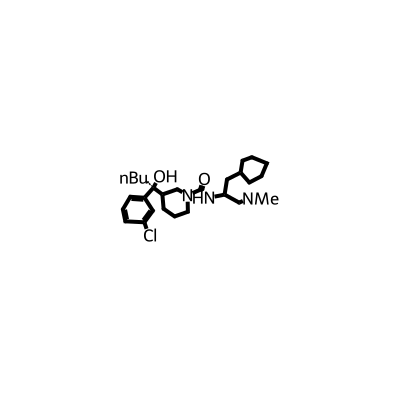 CCCC[C@@](O)(c1cccc(Cl)c1)C1CCCN(C(=O)NC(CNC)CC2CCCCC2)C1